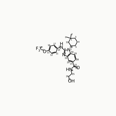 CC1(C)CCC[C@H](n2c(Nc3ccc(OC(F)(F)F)cc3)nc3cc(C(=O)NCCO)ccc32)C1